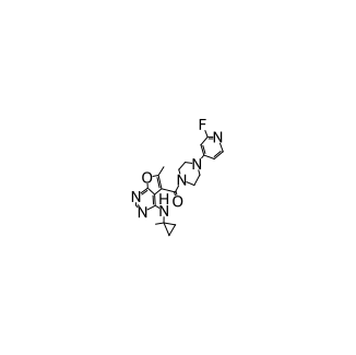 Cc1oc2ncnc(NC3(C)CC3)c2c1C(=O)N1CCN(c2ccnc(F)c2)CC1